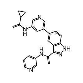 C=C(Nc1cccnc1)c1n[nH]c2ccc(-c3cncc(NC(=C)C4CC4)c3)cc12